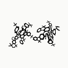 CC(C)(C)c1ccc(Nc2cc3c(cc2-c2c4c(c5c6cc(C(C)(C)C)ccc6n6c7c([b+]c2c56)sc2ccc(C(C)(C)C)cc27)C(C)(C)c2ccccc2-4)-c2cc(C(C)(C)c4ccc5c(c4)c4c6c(c7c8c4n5-c4c(sc5ccc(C(C)(C)C)cc45)B8N(c4ccc(C(C)(C)C)cc4)c4cc5oc8cc9c(cc8c5cc4-7)C(C)(C)CCC9(C)C)-c4ccccc4C6(C)C)ccc2C3(C)C)cc1